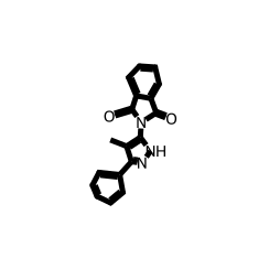 Cc1c(-c2ccccc2)n[nH]c1N1C(=O)c2ccccc2C1=O